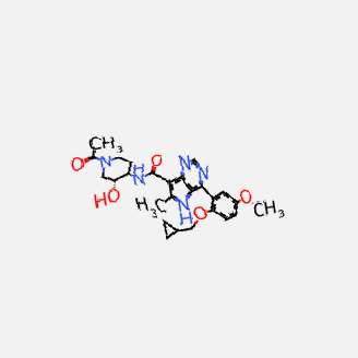 COc1ccc(OCC2CC2)c(-c2ncnc3c(C(=O)N[C@@H]4CCN(C(C)=O)C[C@H]4O)c(C)[nH]c23)c1